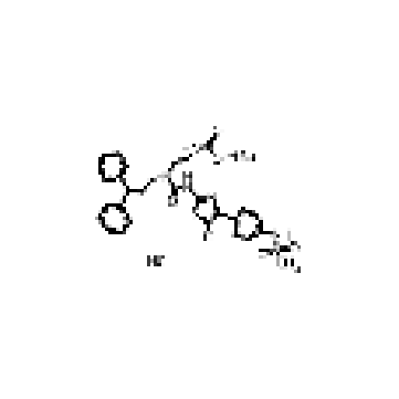 CC(C)(C)OC(=O)NCCN(CCC(c1ccccc1)c1ccccc1)C(=O)Nc1nc(-c2ccc(NS(C)(=O)=O)cc2)c(Cl)s1.Cl